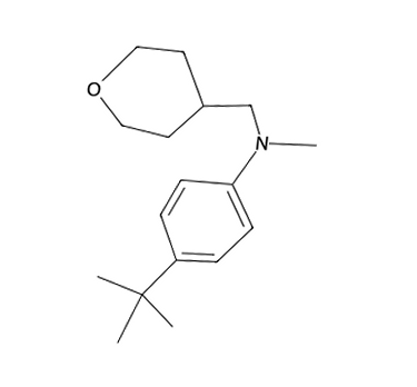 CN(CC1CCOCC1)c1ccc(C(C)(C)C)cc1